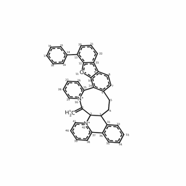 C=C1C2C(CCc3ccc4c(oc5c(-c6ccccc6)cccc54)c3-c3cccc[n+]31)c1ccccc1-c1cccc[n+]12